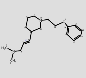 CN(C)C/C=C/C1CCCN(CCOc2ccccc2)C1